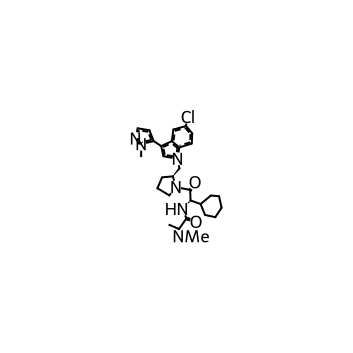 CN[C@@H](C)C(=O)N[C@H](C(=O)N1CCC[C@H]1Cn1cc(-c2ccnn2C)c2cc(Cl)ccc21)C1CCCCC1